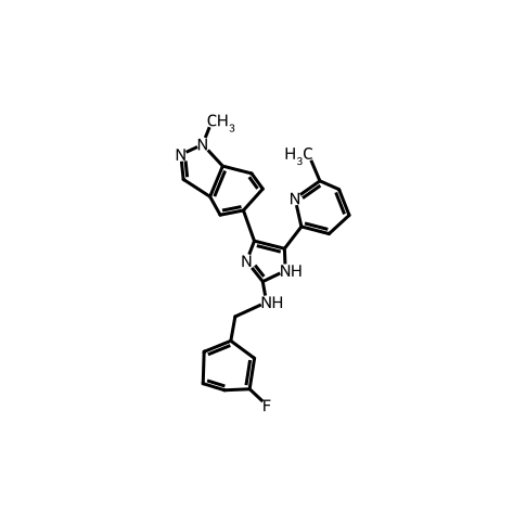 Cc1cccc(-c2[nH]c(NCc3cccc(F)c3)nc2-c2ccc3c(cnn3C)c2)n1